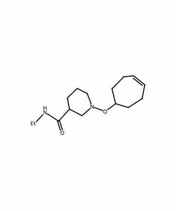 CCNC(=O)C1CCCN(OC2CCC=CCC2)C1